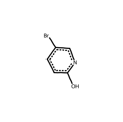 Oc1c[c]c(Br)cn1